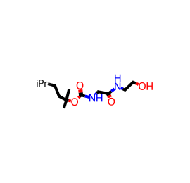 CC(C)CCC(C)(C)OC(=O)NCC(=O)NCCO